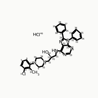 Cc1c(Cl)cccc1N1CCN(C[C@@H](O)CNc2ncnc3c2nc(-c2ccccc2)n3-c2ccccc2)CC1.Cl